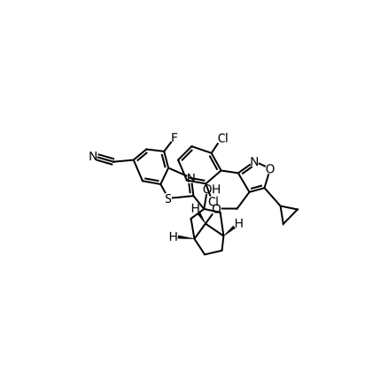 N#Cc1cc(F)c2nc(C3(O)C[C@H]4CC[C@@H](C3)[C@H]4OCc3c(-c4c(Cl)cccc4Cl)noc3C3CC3)sc2c1